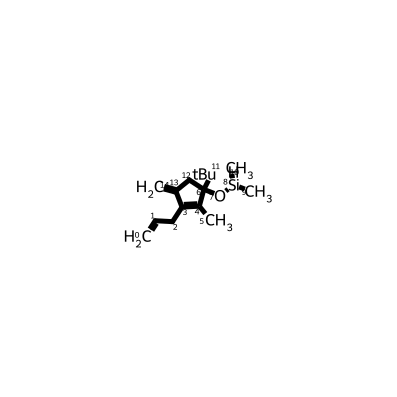 C=CCC1=C(C)C(O[SiH](C)C)(C(C)(C)C)CC1=C